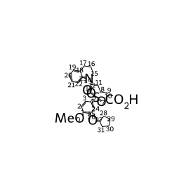 COc1ccc(S(=O)(=O)C(CC(=O)O)CC(=O)N2CCCc3ccccc32)cc1OC1CCCC1